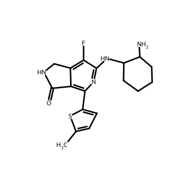 Cc1ccc(-c2nc(NC3CCCCC3N)c(F)c3c2C(=O)NC3)s1